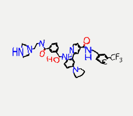 CN(CCN1CCNCC1)C(=O)c1cccc(C(O)Nc2ccc(N3CCCCC3)cc2-c2cc(C(=O)NCc3cccc(C(F)(F)F)c3)ccn2)c1